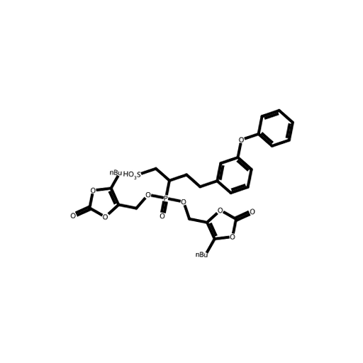 CCCCc1oc(=O)oc1COP(=O)(OCc1oc(=O)oc1CCCC)C(CCc1cccc(Oc2ccccc2)c1)CS(=O)(=O)O